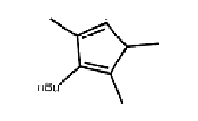 CCCCC1=C(C)C(C)[C]=C1C